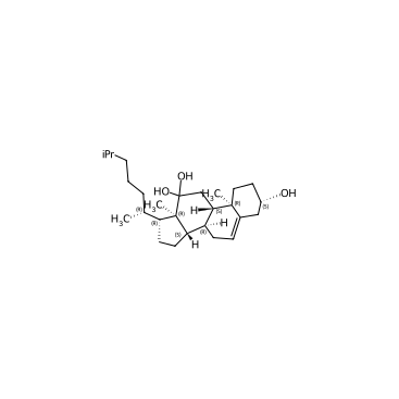 CC(C)CCC[C@@H](C)[C@H]1CC[C@H]2[C@@H]3CC=C4C[C@@H](O)CC[C@]4(C)[C@H]3CC(O)(O)[C@]12C